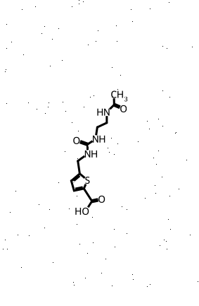 CC(=O)NCCNC(=O)NCc1ccc(C(=O)O)s1